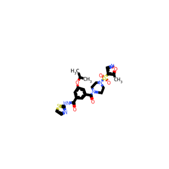 Cc1oncc1S(=O)(=O)N1CCN(C(=O)c2cc(OC(C)C)cc(C(=O)Nc3nccs3)c2)CC1